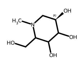 CN1C[C@@H](O)C(O)C(O)C1CO